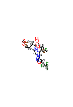 O=S1(=O)CCC(C(O)N2CCN(c3cc(C(F)(F)F)on3)CC2c2ccc(F)s2)CC1